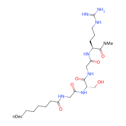 CCCCCCCCCCCCCCCC(=O)NCC(=O)N[C@@H](CO)C(=O)NCC(=O)N[C@@H](CCCNC(=N)N)C(=O)NC